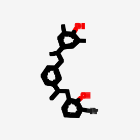 Cc1cc(C(C)Cc2cccc(C(C)Cc3cccc(C(C)C)c3O)c2)cc(C)c1O